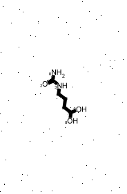 NC(=O)NCCCC(O)O